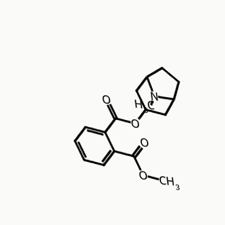 COC(=O)c1ccccc1C(=O)OC1CC2CCC(C1)N2C